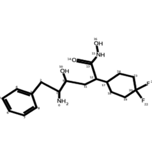 NC(Cc1ccccc1)C(O)CC(C(=O)NO)C1CCC(F)(F)CC1